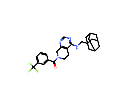 O=C(c1cccc(C(F)(F)F)c1)N1CCc2c(ncnc2NCC23CC4CC(CC(C4)C2)C3)C1